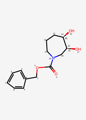 O=C(OCc1ccccc1)N1CCC[C@@H](O)[C@@H](O)C1